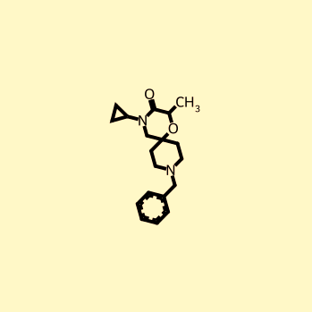 CC1OC2(CCN(Cc3ccccc3)CC2)CN(C2CC2)C1=O